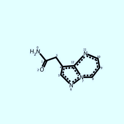 NC(=O)Cc1cnn2cccnc12